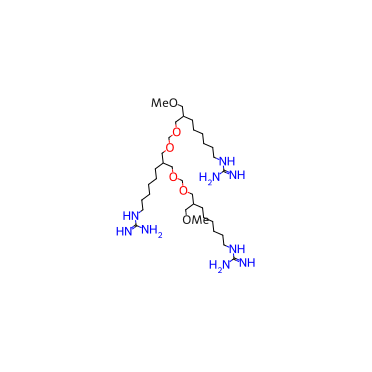 COCC(CCCCCCNC(=N)N)COCOCC(CCCCCCNC(=N)N)COCOCC(CCCCCCNC(=N)N)COC